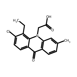 CCc1c(Cl)ccc2c(=O)c3ccc(C)cc3n(CC(=O)O)c12